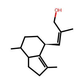 CC1=C2C(CC1)C(C)CC[C@H]2/C=C(/C)CO